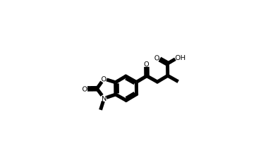 CC(CC(=O)c1ccc2c(c1)oc(=O)n2C)C(=O)O